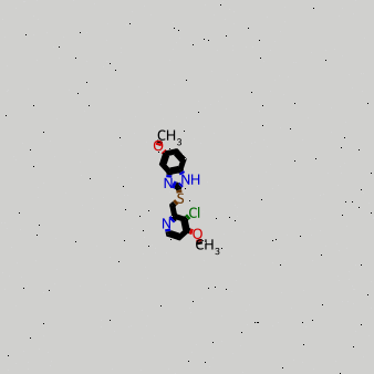 COc1ccc2[nH]c(SCc3nccc(OC)c3Cl)nc2c1